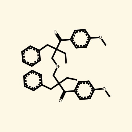 CCC(C[N]CC(CC)(Cc1ccccc1)C(=O)c1ccc(OC)cc1)(Cc1ccccc1)C(=O)c1ccc(OC)cc1